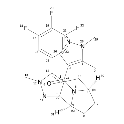 Cc1c(C(=O)N2[C@@H]3CC[C@H]2c2nn(C)c(-c4cc(F)c(F)c(F)c4)c2C3)cnn1C